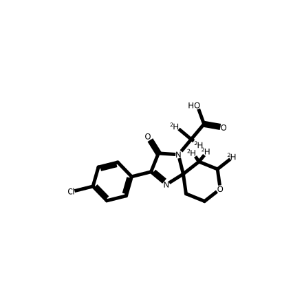 [2H]C1OCCC2(N=C(c3ccc(Cl)cc3)C(=O)N2C([2H])([2H])C(=O)O)C1([2H])[2H]